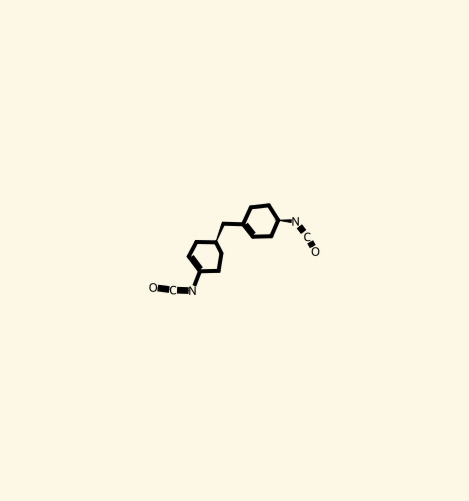 O=C=NC1=CC[C@@H](CC2=CC[C@H](N=C=O)CC2)CC1